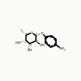 C[C@@H]1O[C@H](Oc2ccc([N+](=O)[O-])cc2)[C@@H](O)[C@H](O)[C@@H]1O